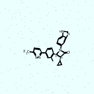 Cc1cc(-c2ccc(C(F)(F)F)nn2)ccc1[C@@H]1[C@H](C2CC2)C(=O)N1c1ccc2[nH]cnc2c1